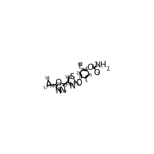 NC(=O)Oc1ccc(Oc2nc(-c3nnc(C4CC4)o3)cs2)cc1F